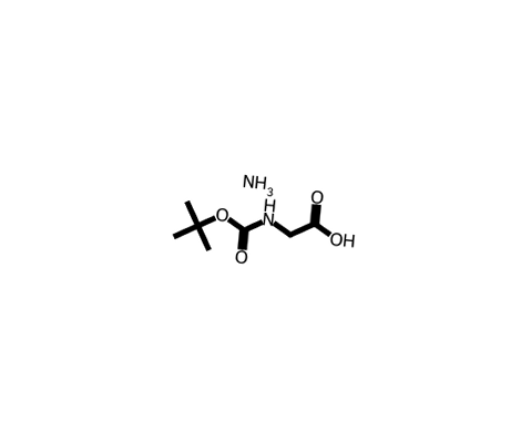 CC(C)(C)OC(=O)NCC(=O)O.N